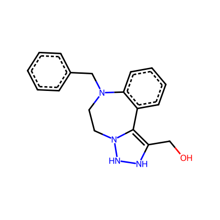 OCC1=C2c3ccccc3N(Cc3ccccc3)CCN2NN1